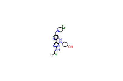 CCC(F)CNc1ncc(-c2ccc(CN3CCC(F)(F)CC3)cn2)c(NC2CCC(O)CC2)n1